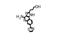 Nc1nc2cc(-c3nccs3)ccc2c2[nH]c(CCCO)nc12